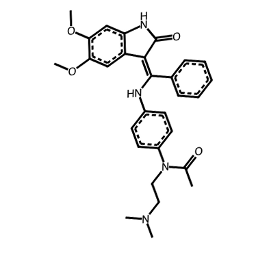 COc1cc2c(cc1OC)C(=C(Nc1ccc(N(CCN(C)C)C(C)=O)cc1)c1ccccc1)C(=O)N2